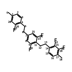 Cc1ccc(CCc2cc(F)c(CCc3ccc(C)c(F)c3F)c(F)c2)c(F)c1